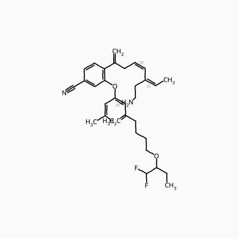 C=C(/C=C(\C=C(C)C)Oc1cc(C#N)ccc1C(=C)C/C=C\C(=C/C)CCN)CCCCOC(CC)C(F)F